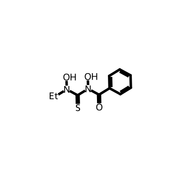 CCN(O)C(=S)N(O)C(=O)c1ccccc1